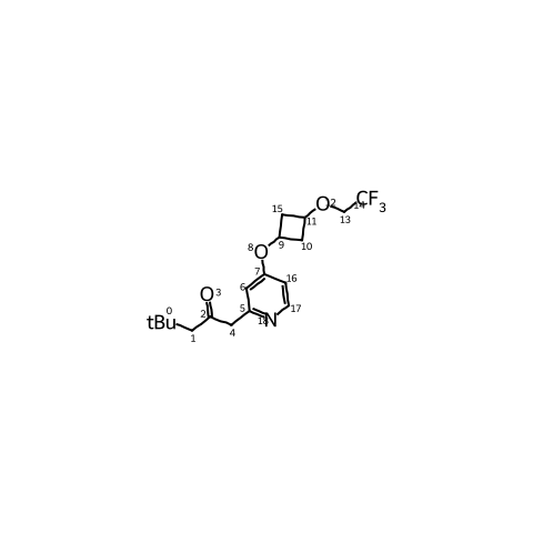 CC(C)(C)CC(=O)Cc1cc(OC2CC(OCC(F)(F)F)C2)ccn1